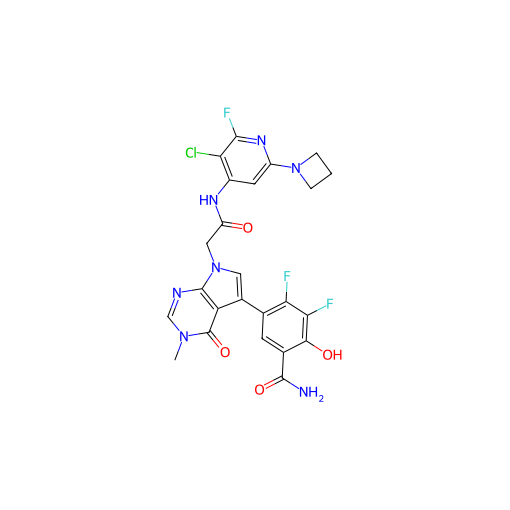 Cn1cnc2c(c(-c3cc(C(N)=O)c(O)c(F)c3F)cn2CC(=O)Nc2cc(N3CCC3)nc(F)c2Cl)c1=O